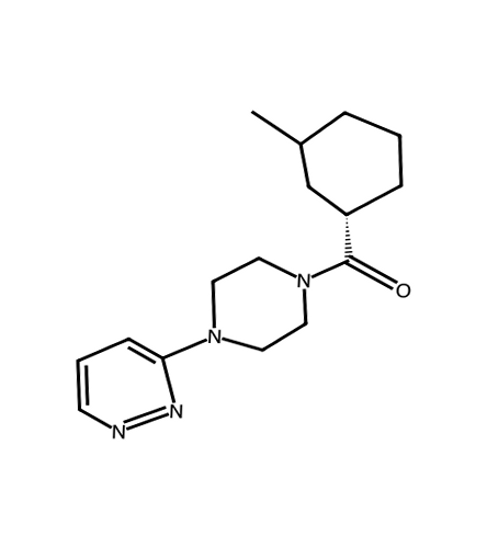 CC1CCC[C@H](C(=O)N2CCN(c3cccnn3)CC2)C1